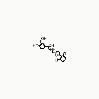 OCc1cc(C(O)CNCC2CCC(c3c(Cl)cccc3Cl)O2)ccc1O